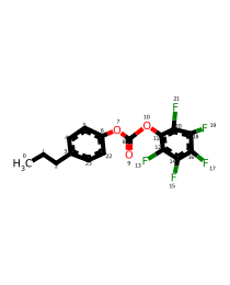 CCCc1ccc(OC(=O)Oc2c(F)c(F)c(F)c(F)c2F)cc1